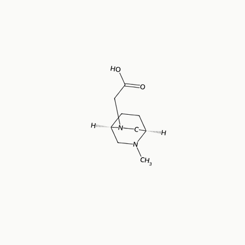 CN1C[C@H]2CC[C@@H]1CN2CC(=O)O